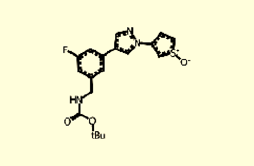 CC(C)(C)OC(=O)NCc1cc(F)cc(-c2cnn(-c3cc[s+]([O-])c3)c2)c1